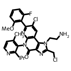 COc1cccc(F)c1-c1nc2c(cc1Cl)c1c(nc(CCl)n1CCN)c(=O)n2-c1c(C)ccnc1C(C)C